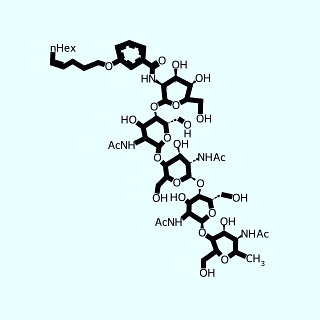 CCCCCC/C=C\CCCOc1cccc(C(=O)N[C@@H]2C(O[C@H]3C(O)C(NC(C)=O)C(OC4C(CO)O[C@@H](O[C@H]5C(O)C(NC(C)=O)[C@H](OC6C(CO)OC(C)[C@@H](NC(C)=O)[C@H]6O)O[C@H]5CO)[C@@H](NC(C)=O)[C@H]4O)O[C@H]3CO)OC(CO)[C@@H](O)[C@@H]2O)c1